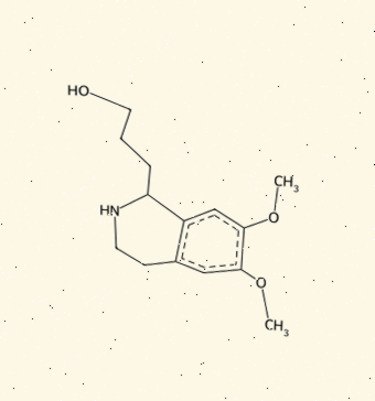 COc1cc2c(cc1OC)C(CCCO)NCC2